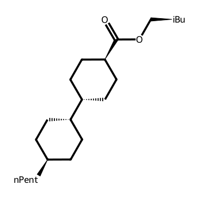 CCCCC[C@H]1CC[C@H]([C@H]2CC[C@H](C(=O)OC[C@H](C)CC)CC2)CC1